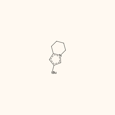 CC(C)(C)c1cc2n(c1)CCCC2